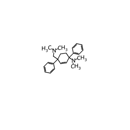 CN(C)CC1(c2ccccc2)C=CC(c2ccccc2)(N(C)C)CC1